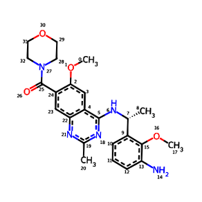 COc1cc2c(N[C@H](C)c3cccc(N)c3OC)nc(C)nc2cc1C(=O)N1CCOCC1